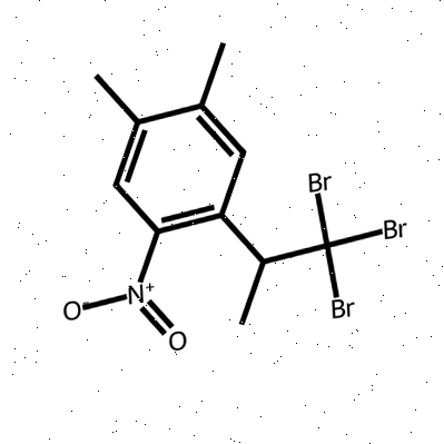 Cc1cc(C(C)C(Br)(Br)Br)c([N+](=O)[O-])cc1C